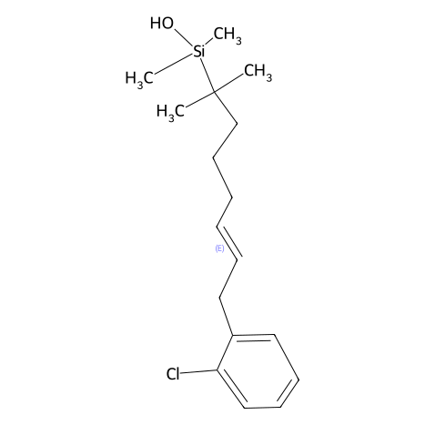 CC(C)(CCC/C=C/Cc1ccccc1Cl)[Si](C)(C)O